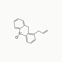 C=CCc1cccc2c1Cc1ccccc1[S+]2[O-]